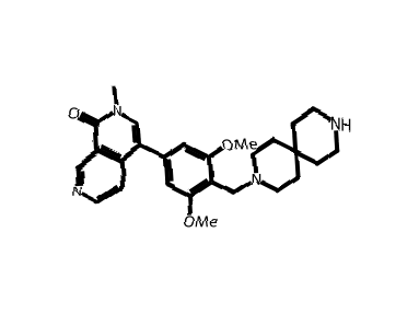 COc1cc(-c2cn(C)c(=O)c3cnccc23)cc(OC)c1CN1CCC2(CCNCC2)CC1